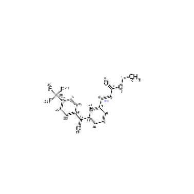 CCOC(=O)/C=C/c1cccc(C(=O)c2ccc(C(F)(F)F)cc2)n1